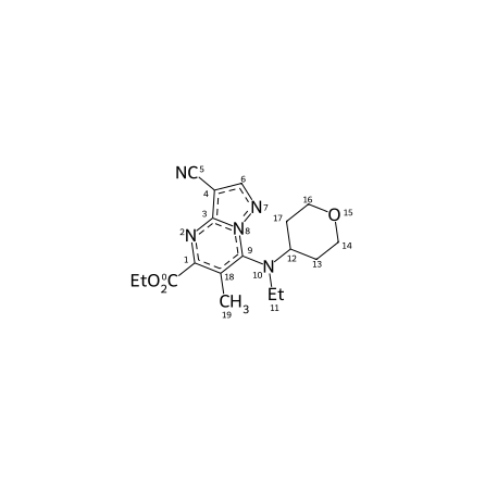 CCOC(=O)c1nc2c(C#N)cnn2c(N(CC)C2CCOCC2)c1C